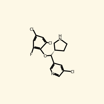 Fc1cc(Cl)cc(Cl)c1OC(c1cncc(Cl)c1)[C@H]1CCNC1